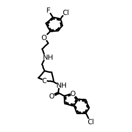 O=C(NC1CCC(CNCCOc2ccc(Cl)c(F)c2)C1)c1cc2cc(Cl)ccc2o1